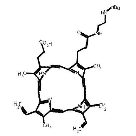 C=CC1=C(C)c2cc3[nH]c(cc4nc(cc5[nH]c(cc1n2)c(C)c5CCC(=O)O)C(CCC(=O)NCCNCCCC)=C4C)c(C)c3C=C